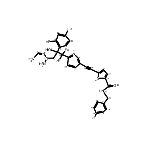 N/C=N\N(N)CC(O)(c1ccc(F)cc1F)C(F)(F)c1ccc(C#Cc2ccc(C(=O)NCc3ccc(F)cc3)s2)cn1